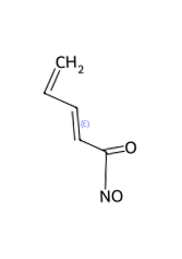 C=C/C=C/C(=O)N=O